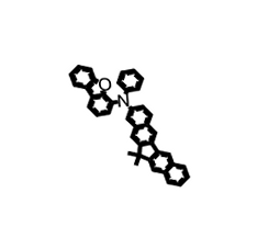 CC1(C)c2cc3ccccc3cc2-c2cc3ccc(N(c4ccccc4)c4cccc5c4oc4ccccc45)cc3cc21